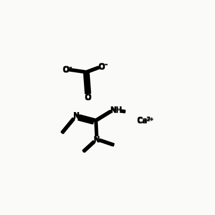 CN=C(NC)N(C)C.O=C([O-])[O-].[Ca+2]